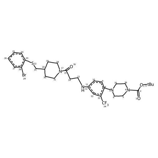 CC(C)(C)OC(=O)N1CCN(c2ccc(NCCC(=O)N3CCC(CSc4ccccc4Br)CC3)cc2C(F)(F)F)CC1